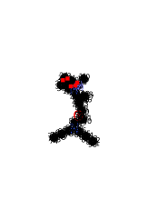 C=C(/C=C\C(=C/C)c1ccccc1)N(c1ccc2c(c1)C(c1ccccc1)(c1ccccc1)c1ccccc1-2)c1ccc2c3ccc(-c4ccc5c(c4)oc4c(-c6cccc(N(c7ccc(-c8ccc(-c9ccccc9)cc8)cc7)c7ccc(-c8ccc(-c9ccccc9)cc8)cc7)c6)cccc45)cc3c3ccccc3c2c1